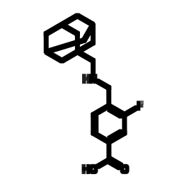 O=C(O)c1ccc(CNCC23CC4CC(CC(C4)C2)C3)c(F)c1